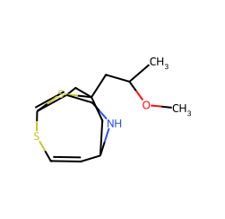 COC(C)CC12CC3=C(S/C=C\C(C1)NC3)S2